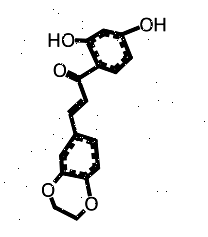 O=C(C=Cc1ccc2c(c1)OCCO2)c1ccc(O)cc1O